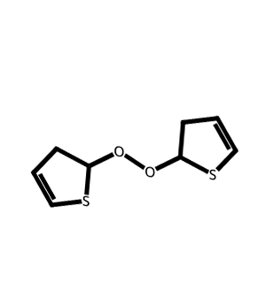 C1=CSC(OOC2CC=CS2)C1